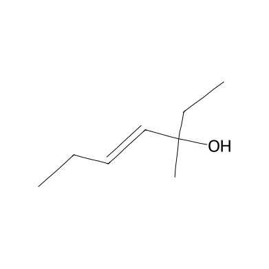 CCC=CC(C)(O)CC